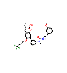 CCC(Cc1ccc(-c2cccc(N(C)C(=O)NCCc3cccc(OC)c3)c2)c(OCCCC(F)(F)F)c1)C(=O)O